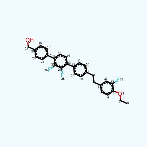 CCOc1ccc(CCc2ccc(-c3ccc(-c4ccc(CO)cc4)c(F)c3F)cc2)cc1F